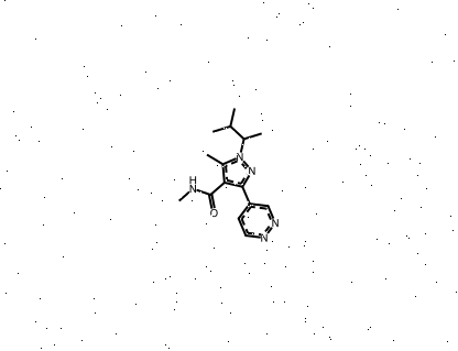 CNC(=O)c1c(-c2ccnnc2)nn(C(C)C(C)C)c1C